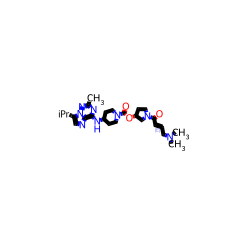 Cc1nc(NC2CCN(C(=O)OC3CCN(C(=O)/C=C/CN(C)C)C3)CC2)c2ncc(C(C)C)n2n1